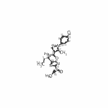 CC[C@H](NC(=O)c1cnn(-c2ccc(Cl)cc2)c1C)c1cnc(S(=O)#CO)s1